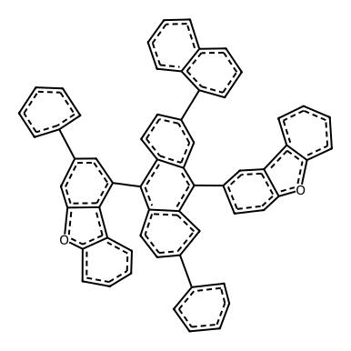 c1ccc(-c2cc(-c3c4ccc(-c5ccccc5)cc4c(-c4ccc5oc6ccccc6c5c4)c4cc(-c5cccc6ccccc56)ccc34)c3c(c2)oc2ccccc23)cc1